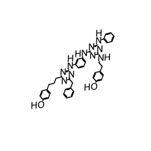 Oc1ccc(CCCc2nc(Cc3ccccc3)nc(Nc3cccc(Nc4nc(NCCc5ccc(O)cc5)nc(Nc5ccccc5)n4)c3)n2)cc1